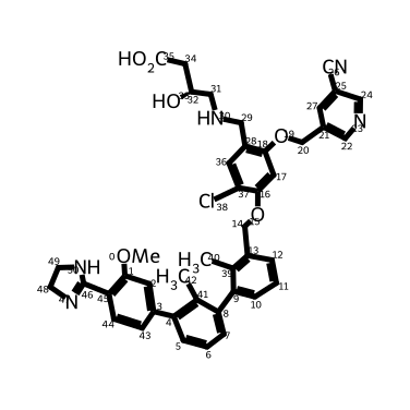 COc1cc(-c2cccc(-c3cccc(COc4cc(OCc5cncc(C#N)c5)c(CNC[C@@H](O)CC(=O)O)cc4Cl)c3C)c2C)ccc1C1=NCCN1